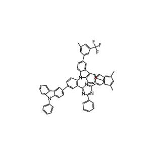 Cc1cc(C)cc(-c2ccc3c(c2)c2cc(-c4cc(C)cc(C(F)(F)F)c4)ccc2n3-c2ccc(-c3ccc4c(c3)c3ccccc3n4-c3ccccc3)cc2-c2nc(-c3ccccc3)nc(-c3ccccc3)n2)c1